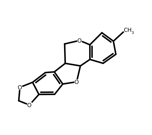 Cc1ccc2c(c1)OCC1c3cc4c(cc3OC21)OCO4